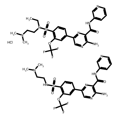 CCN(CCN(C)C)S(=O)(=O)c1ccc(-c2cnc(N)c(C(=O)Nc3cccnc3)n2)cc1OC(F)(F)F.CN(C)CCNS(=O)(=O)c1ccc(-c2cnc(N)c(C(=O)Nc3cccnc3)n2)cc1OC(F)(F)F.Cl